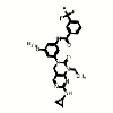 CCN1C(=O)N(c2cc(NC(=O)c3cccc(C(F)(F)F)c3)cc(OC)c2)Cc2cnc(NC3CC3)nc21